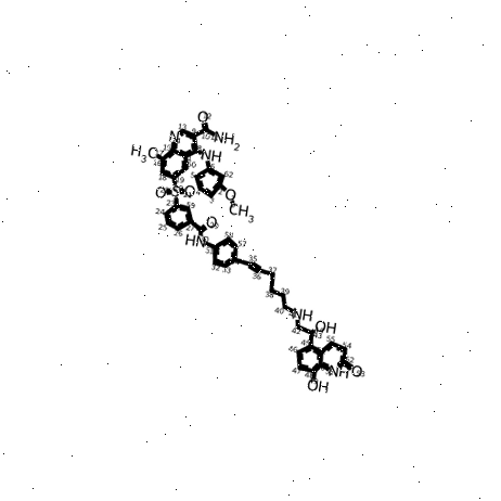 COc1cccc(Nc2c(C(N)=O)cnc3c(C)cc(S(=O)(=O)c4cccc(C(=O)Nc5ccc(C#CCCCCNCC(O)c6ccc(O)c7[nH]c(=O)ccc67)cc5)c4)cc23)c1